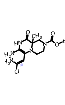 CC(C)(C)OC(=O)N1CCN2C(/C=C(\N)Cl)=C(N)NC(=O)C2(C)C1